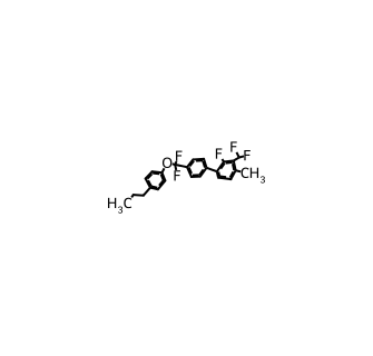 CCCc1ccc(OC(F)(F)c2ccc(-c3ccc(C)c(C(F)F)c3F)cc2)cc1